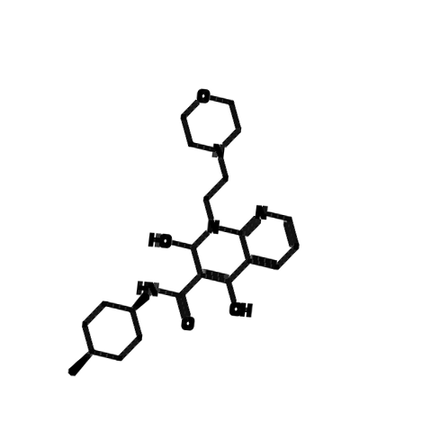 C[C@H]1CC[C@@H](NC(=O)C2=C(O)c3cccnc3N(CCN3CCOCC3)C2O)CC1